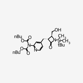 CCCCOC(=O)N(C(=O)OCCCC)c1cc(C[C@H]2C(=O)N([Si](C)(C)C(C)(C)C)[C@@H]2CO)ccn1